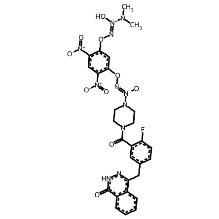 CN(C)/[N+](O)=N/Oc1cc(O/N=[N+](\[O-])N2CCN(C(=O)c3cc(Cc4n[nH]c(=O)c5ccccc45)ccc3F)CC2)c([N+](=O)[O-])cc1[N+](=O)[O-]